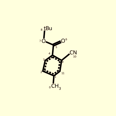 Cc1ccc(C(=O)OC(C)(C)C)c(C#N)c1